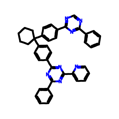 c1ccc(-c2ncnc(-c3ccc(C4(c5ccc(-c6nc(-c7ccccc7)nc(-c7ccccn7)n6)cc5)CCCCC4)cc3)n2)cc1